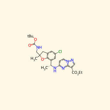 CCOC(=O)c1cnn2ccc(N[C@H](C)c3cc(Cl)cc4c3OC(C)(CNC(=O)OC(C)(C)C)C4)nc12